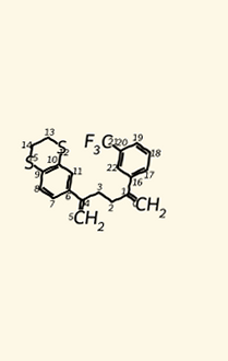 C=C(CCC(=C)c1ccc2c(c1)SCCS2)c1cccc(C(F)(F)F)c1